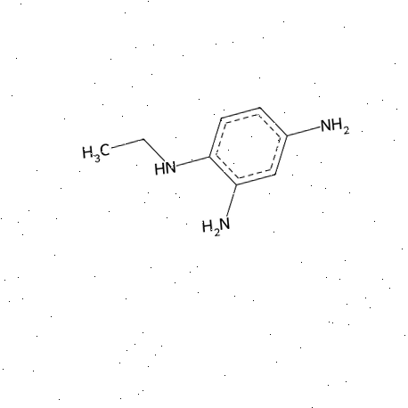 CCNc1ccc(N)cc1N